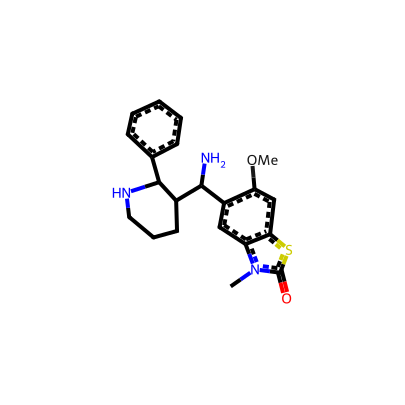 COc1cc2sc(=O)n(C)c2cc1C(N)C1CCCNC1c1ccccc1